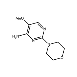 COc1cnc(N2CCOCC2)nc1N